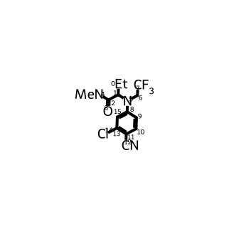 CCC(C(=O)NC)N(CC(F)(F)F)c1ccc(C#N)c(Cl)c1